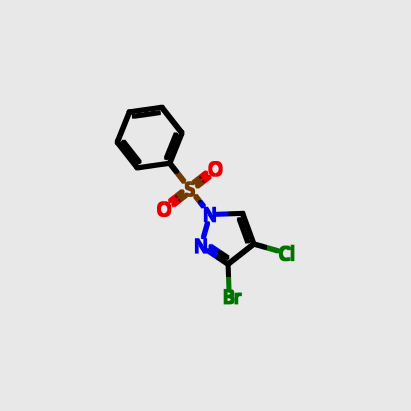 O=S(=O)(c1ccccc1)n1cc(Cl)c(Br)n1